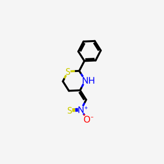 [O-][N+](=S)C=C1CCSC(c2ccccc2)N1